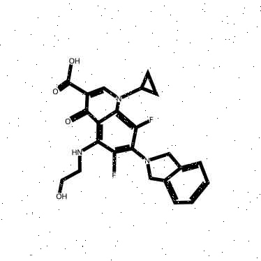 O=C(O)c1cn(C2CC2)c2c(F)c(N3Cc4ccccc4C3)c(F)c(NCCO)c2c1=O